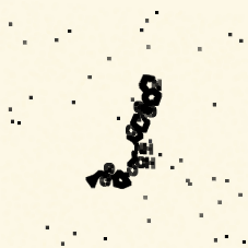 O=S(=O)(CC1CC1)c1cccc(OCC(O)CNC2COC3(CCN(S(=O)(=O)c4ccc5ncccc5c4)CC3)C2)c1